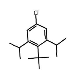 CC(C)c1cc(Cl)cc(C(C)C)c1C(C)(C)C